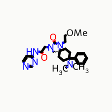 COCCN1C(=O)N(CC(=O)Nc2ccncn2)C[C@]12CC[C@@](c1ccccc1)(N(C)C)CC2